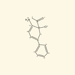 CC(=O)C1(Cl)CC(c2ccccc2)=CC=C1N